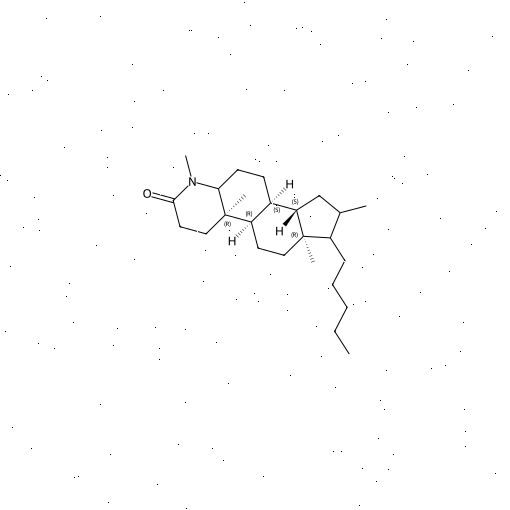 CCCCCC1C(C)C[C@H]2[C@@H]3CCC4N(C)C(=O)CC[C@]4(C)[C@@H]3CC[C@]12C